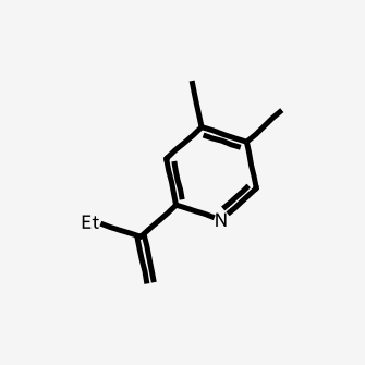 C=C(CC)c1cc(C)c(C)cn1